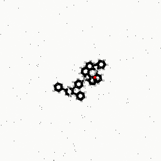 c1ccc(-c2cnc(-c3ccccc3)c(-c3ccc(-n4c5ccccc5c5c6c(ccc7c8ccccc8n(-c8ccccc8)c76)ccc54)cc3)n2)cc1